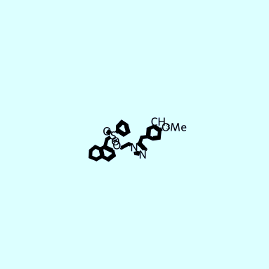 COc1ccc(Cc2cncn2CCOc2ccc3c(c2CS(=O)(=O)c2ccccc2)CCCC3)cc1C